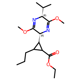 CCCC1C(C(=O)OCC)C1[C@H]1N=C(OC)[C@@H](C(C)C)N=C1OC